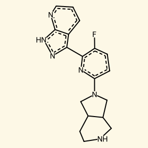 Fc1ccc(N2CC3CCNCC3C2)nc1-c1n[nH]c2ncccc12